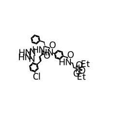 CCOP(=O)(CCNC(=O)c1ccc(NC(=O)[C@H](Cc2ccccc2)NC(=O)/C=C/c2cc(Cl)ccc2N2C=NNN2)cc1)OCC